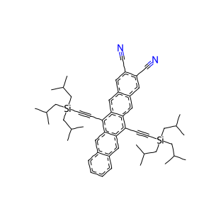 CC(C)C[Si](C#Cc1c2cc3ccccc3cc2c(C#C[Si](CC(C)C)(CC(C)C)CC(C)C)c2cc3cc(C#N)c(C#N)cc3cc12)(CC(C)C)CC(C)C